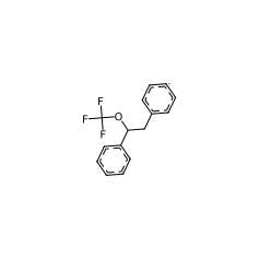 FC(F)(F)OC(Cc1cc[c]cc1)c1ccccc1